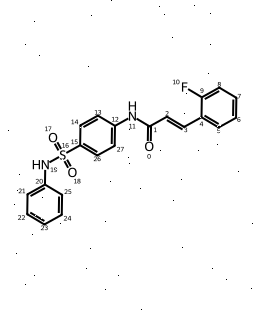 O=C(/C=C/c1ccccc1F)Nc1ccc(S(=O)(=O)Nc2ccccc2)cc1